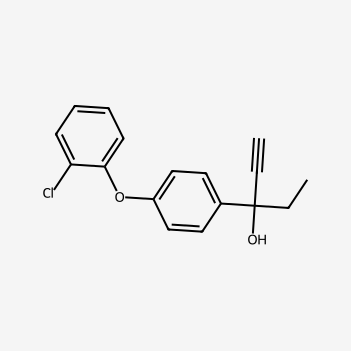 C#CC(O)(CC)c1ccc(Oc2ccccc2Cl)cc1